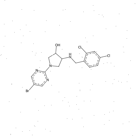 OC1CN(c2ncc(Br)cn2)CC1NCc1ccc(Cl)cc1Cl